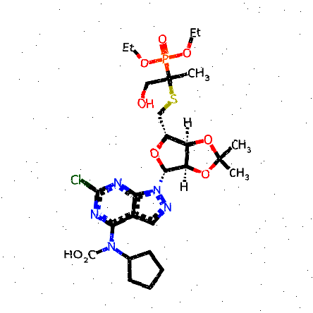 CCOP(=O)(OCC)C(C)(CO)SC[C@H]1O[C@@H](n2ncc3c(N(C(=O)O)C4CCCC4)nc(Cl)nc32)[C@@H]2OC(C)(C)O[C@@H]21